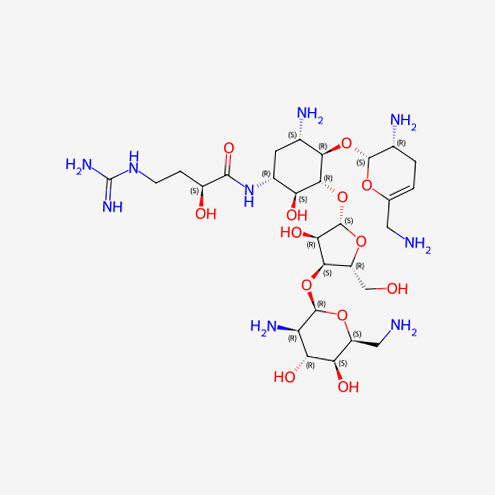 N=C(N)NCC[C@H](O)C(=O)N[C@@H]1C[C@H](N)[C@@H](O[C@H]2OC(CN)=CC[C@H]2N)[C@H](O[C@@H]2O[C@H](CO)[C@@H](O[C@H]3O[C@@H](CN)[C@@H](O)[C@H](O)[C@H]3N)[C@H]2O)[C@H]1O